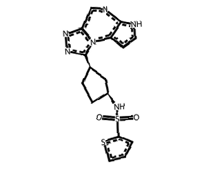 O=S(=O)(N[C@H]1CC[C@@H](c2nnc3cnc4[nH]ccc4n23)C1)c1cccs1